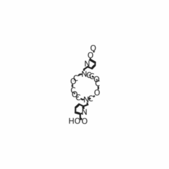 O=COc1cccc(CN2CCOCCOCCN(Cc3cccc(C(=O)O)n3)CCOCCOCC2)n1